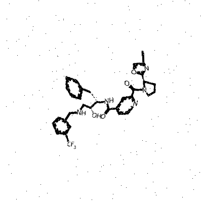 Cc1coc([C@H]2CCCN2C(=O)c2cc(C(=O)N[C@@H](Cc3ccccc3)[C@H](O)CNCc3cccc(C(F)(F)F)c3)ccn2)n1